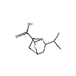 CC(C)C1CC2CCN1C(C(=O)O)C2